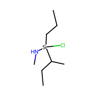 CCC[Si](Cl)(NC)C(C)CC